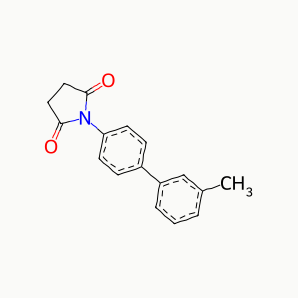 Cc1cccc(-c2ccc(N3C(=O)CCC3=O)cc2)c1